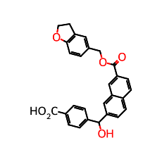 O=C(O)c1ccc(C(O)c2ccc3ccc(C(=O)OCc4ccc5c(c4)CCO5)cc3c2)cc1